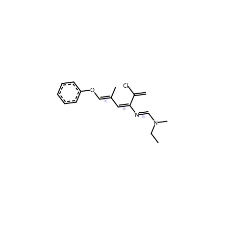 C=C(Cl)C(=C\C(C)=C\Oc1ccccc1)/N=C/N(C)CC